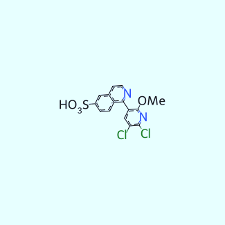 COc1nc(Cl)c(Cl)cc1-c1nccc2cc(S(=O)(=O)O)ccc12